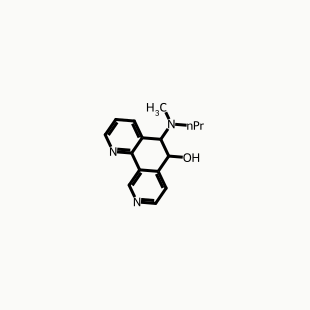 CCCN(C)C1c2cccnc2-c2cnccc2C1O